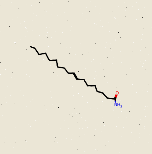 CCCCCCCCCC=CCCCCCCC(N)=O